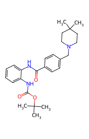 CC1(C)CCN(Cc2ccc(C(=O)Nc3ccccc3NC(=O)OC(C)(C)C)cc2)CC1